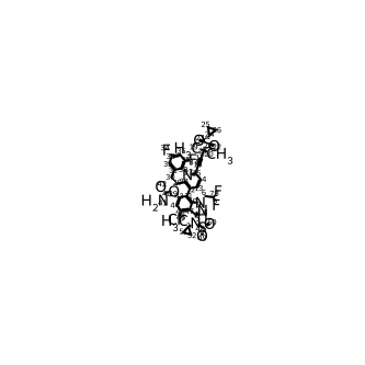 CC1(N(c2nn(CC(F)F)c3c(-c4ccc(C#CC(C)(C)S(=O)(=O)C5CC5)nc4[C@H](Cc4cc(F)cc(F)c4)OC(N)=O)ccc(Cl)c23)[SH](=O)=O)CC1